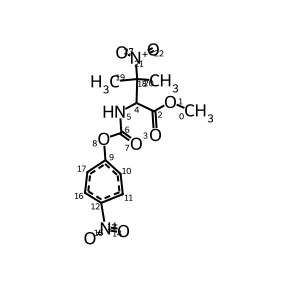 COC(=O)C(NC(=O)Oc1ccc([N+](=O)[O-])cc1)C(C)(C)[N+](=O)[O-]